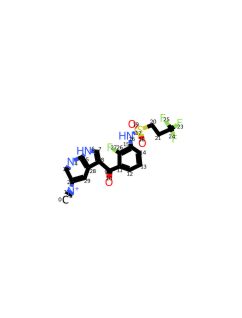 [C-]#[N+]c1cnc2[nH]cc(C(=O)c3cccc(NS(=O)(=O)CCC(F)(F)F)c3F)c2c1